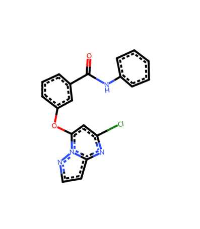 O=C(Nc1ccccc1)c1cccc(Oc2cc(Cl)nc3ccnn23)c1